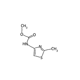 COC(=O)Nc1csc(C)n1